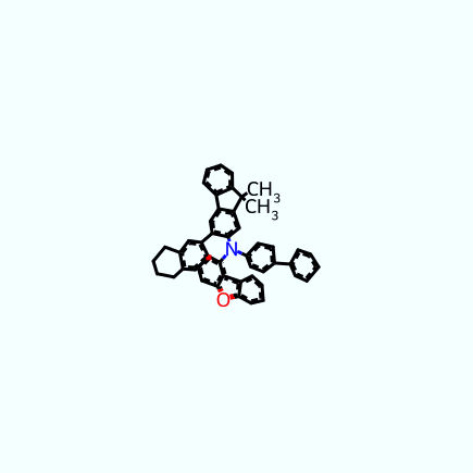 CC1(C)c2ccccc2-c2cc(-c3ccc4c(c3)CCCC4)c(N(c3ccc(-c4ccccc4)cc3)c3cccc4oc5ccccc5c34)cc21